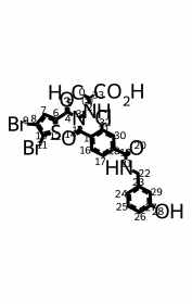 C[C@H](NN(C(=O)c1cc(Br)c(Br)s1)C(=O)c1ccc(C(=O)NCc2cccc(O)c2)cc1Cl)C(=O)O